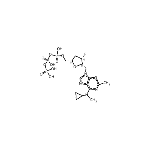 Cc1nc(N(C)C2CC2)c2ncn(C[C@@H]3O[C@H](COP(=O)(O)OP(=O)(O)OP(=O)(O)O)C[C@@H]3F)c2n1